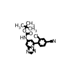 CC(C)(C)OC(=O)Nc1cc(-c2ccc(C#N)cc2Cl)n2ncnc2c1